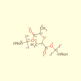 CCCCCCCCCC(I)(I)OC(=O)C(C)SC(C)C(=O)OC(I)(I)CCCCCCCCC